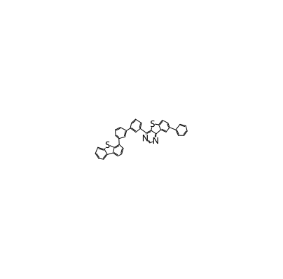 c1ccc(-c2ccc3sc4c(-c5cccc(-c6cccc(-c7cccc8c7sc7ccccc78)c6)c5)ncnc4c3c2)cc1